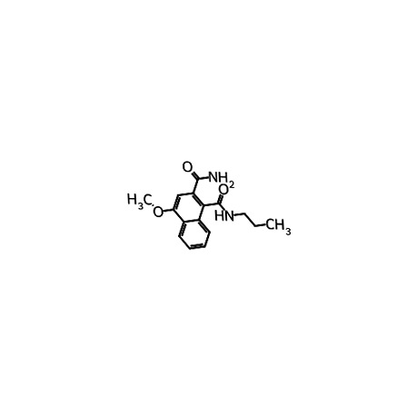 CCCNC(=O)c1c(C(N)=O)cc(OC)c2ccccc12